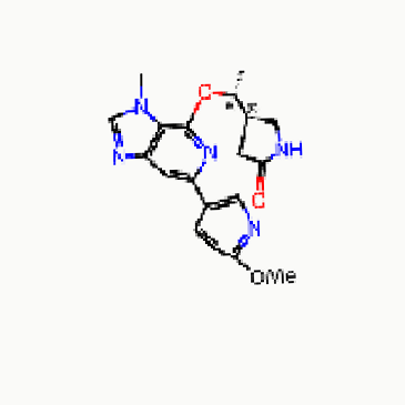 COc1ccc(-c2cc3ncn(C)c3c(O[C@H](C)[C@H]3CNC(=O)C3)n2)cn1